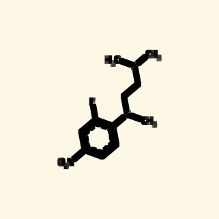 CN(C)CCN(C)c1ccc([N+](=O)[O-])cc1F